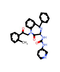 Cc1ccccc1C(=O)CN1C(=O)[C@H](NC(=O)Nc2cccnc2)N=C(c2ccccc2)c2ccccc21